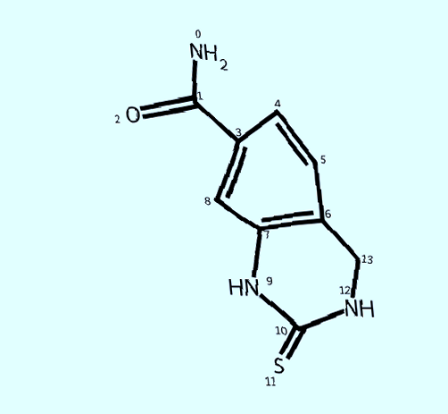 NC(=O)c1ccc2c(c1)NC(=S)NC2